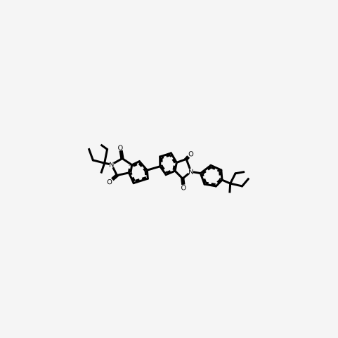 CCC(C)(CC)c1ccc(N2C(=O)c3ccc(-c4ccc5c(c4)C(=O)N(C(C)(CC)CC)C5=O)cc3C2=O)cc1